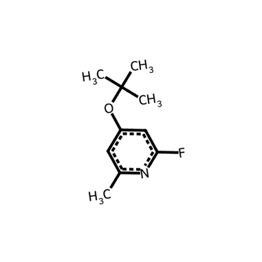 Cc1cc(OC(C)(C)C)cc(F)n1